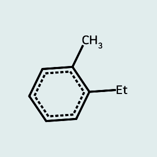 [CH2]Cc1ccccc1C